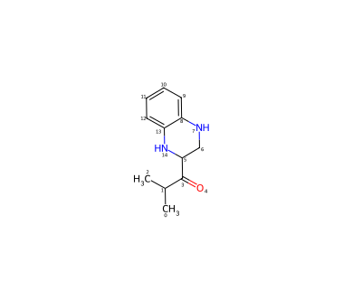 CC(C)C(=O)C1CNc2ccccc2N1